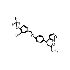 CC(=O)C[C@@H](c1ccc(OCc2ccc(OC(F)(F)F)c(Br)c2)cc1)c1ccon1